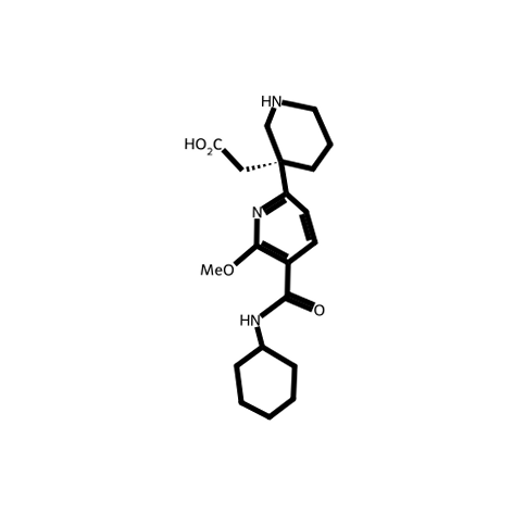 COc1nc([C@]2(CC(=O)O)CCCNC2)ccc1C(=O)NC1CCCCC1